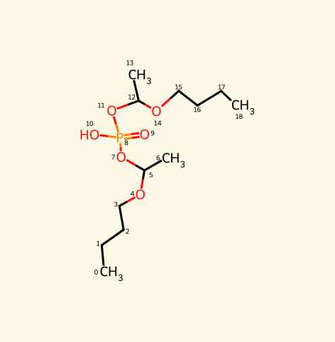 CCCCOC(C)OP(=O)(O)OC(C)OCCCC